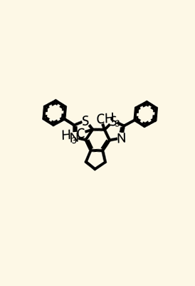 CC12SC(c3ccccc3)=NC1=C1CCCC1=C1N=C(c3ccccc3)SC12C